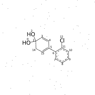 OC1(O)C=CC(c2ccccc2Cl)=CC1